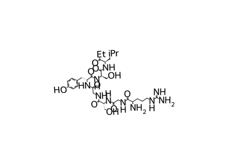 CCC(=O)[C@@H](CC(C)C)NC(=O)[C@@H](CO)NC(=O)[C@@H](Cc1ccc(O)cc1)NC(=O)CNC(=O)[C@@H](CO)NC(=O)CNC(=O)[C@H](N)CCCNC(=N)N